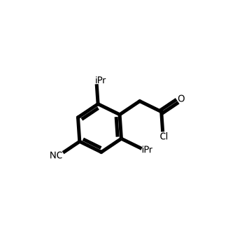 CC(C)c1cc(C#N)cc(C(C)C)c1CC(=O)Cl